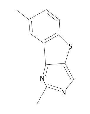 Cc1ccc2sc3cnc(C)nc3c2c1